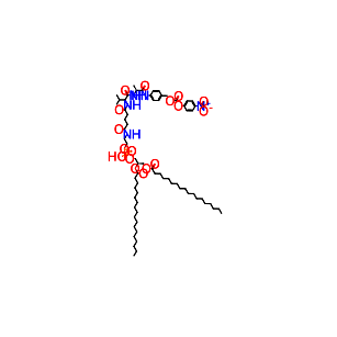 CCCCCCCCCCCCCCCCCC(=O)OC[C@H](COP(=O)(O)OCCNC(=O)CCCC(=O)N[C@H](C(=O)N[C@@H](C)C(=O)Nc1ccc(COC(=O)Oc2ccc([N+](=O)[O-])cc2)cc1)C(C)C)OC(=O)CCCCCCCCCCCCCCCCC